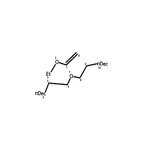 C=COCC.CCCCCCCCCCCCOCCCCCCCCCCCC